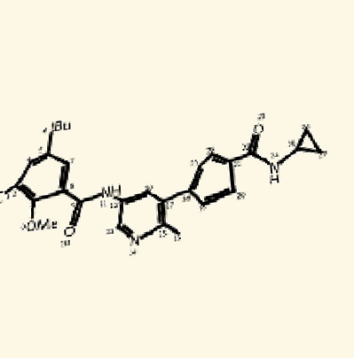 COc1c(C#N)cc(C(C)(C)C)cc1C(=O)Nc1cnc(C)c(-c2ccc(C(=O)NC3CC3)cc2)c1